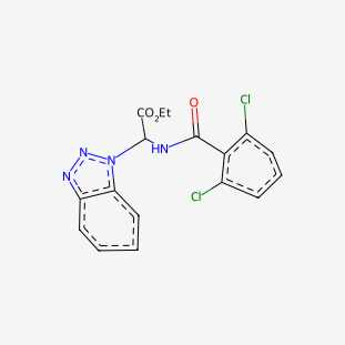 CCOC(=O)C(NC(=O)c1c(Cl)cccc1Cl)n1nnc2ccccc21